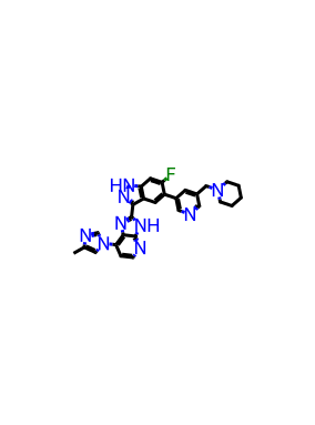 Cc1cn(-c2ccnc3[nH]c(-c4n[nH]c5cc(F)c(-c6cncc(CN7CCCCC7)c6)cc45)nc23)cn1